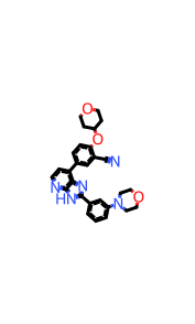 N#Cc1cc(-c2ccnc3[nH]c(-c4cccc(N5CCOCC5)c4)nc23)ccc1OC1CCOCC1